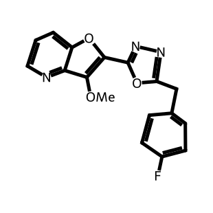 COc1c(-c2nnc(Cc3ccc(F)cc3)o2)oc2cccnc12